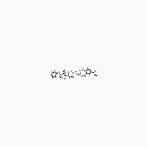 CC(C)C(=O)c1ccc2c(c1)CCN(CC[C@H]1CC[C@H](NC(=O)[C@H](N)Cc3cccnc3)CC1)CC2